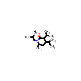 CC(C)CN1C(=O)C(C(C)C)C(C(C)C)CC1C